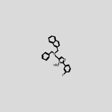 CCCCn1c(CN(Cc2ccccc2)Cc2ccc3ccccc3c2)cnc1-c1cccc(F)c1